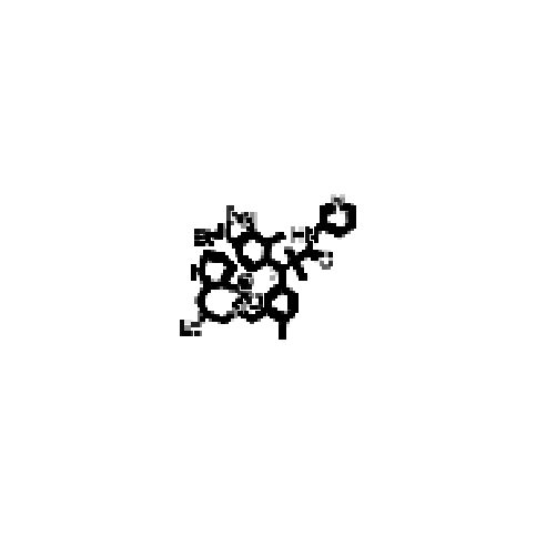 CC[C@H]1Cc2ncccc2S(=O)(=O)N(Cc2cc([C@@H](C3C=Cc4c(nnn4CC)C3C)C(C)(C)C(=O)Nc3cccnc3)ccc2C)C1